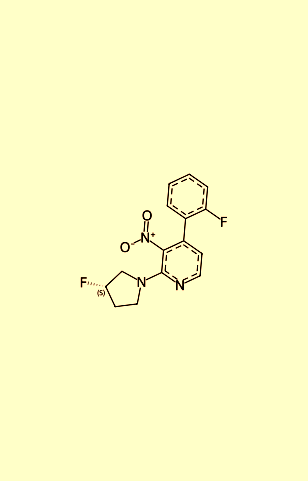 O=[N+]([O-])c1c(-c2ccccc2F)ccnc1N1CC[C@H](F)C1